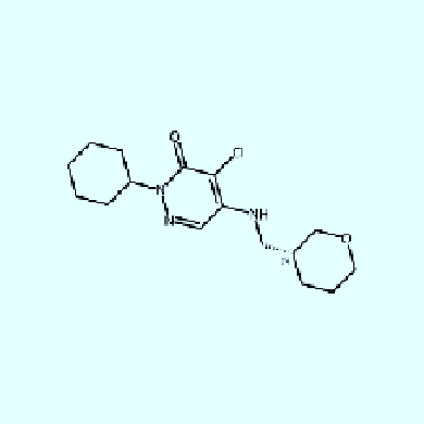 O=c1c(Cl)c(NC[C@H]2CCCOC2)cnn1C1CCCCC1